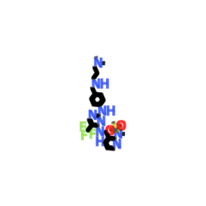 CN(C)CCCNCc1ccc(Nc2ncc(C(F)(F)F)c(NCc3cccnc3N(C)S(C)(=O)=O)n2)cc1